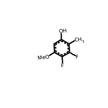 COc1cc(O)c(C)c(F)c1F